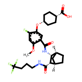 COc1cc(F)c(O[C@H]2CC[C@@H](C(=O)O)CC2)cc1C(=O)N[C@@H]1[C@H]2CC[C@H](C2)[C@@H]1C(=O)NCCCC(F)(F)F